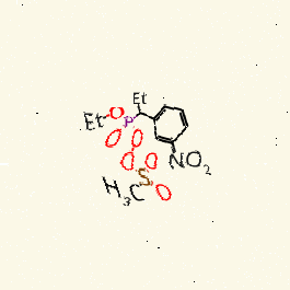 CCOP(=O)(OOS(C)(=O)=O)C(CC)c1cccc([N+](=O)[O-])c1